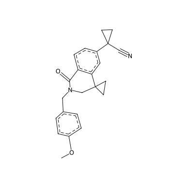 COc1ccc(CN2CC3(CC3)c3cc(C4(C#N)CC4)ccc3C2=O)cc1